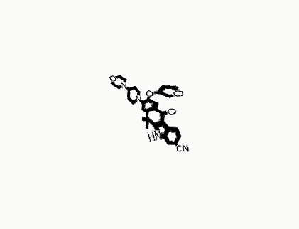 CC1(C)c2cc(N3CCC(N4CCOCC4)CC3)c(OC3CCOC3)cc2C(=O)c2c1[nH]c1cc(C#N)ccc21